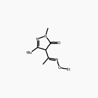 CCON=C(C)C1C(=O)N(C)N=C1C(C)(C)C